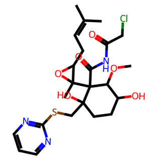 COC1C(O)CCC(O)(CSc2ncccn2)C1(C(=O)NC(=O)CCl)C1(C)OC1CC=C(C)C